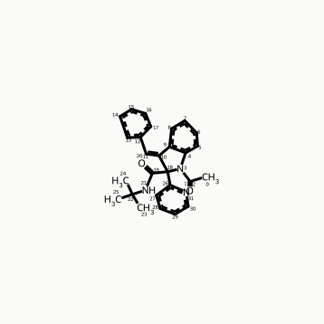 CC(=O)N1c2ccccc2C(=Cc2ccccc2)C1(C(=O)NC(C)(C)C)c1ccccn1